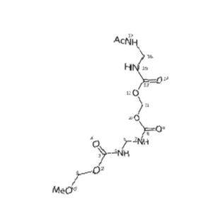 COCOC(=O)NCNC(=O)OCOC(=O)NCNC(C)=O